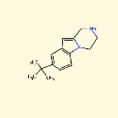 CC(C)(C)c1ccc2c(c1)cc1n2CCNC1